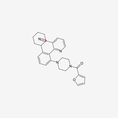 N#Cc1cccnc1-c1c(C2CCCCC2)cccc1N1CCN(C(=O)c2ccco2)CC1